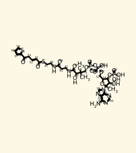 CC(C)(COP(=O)(O)OP(=O)(O)OCC1OC(C)(n2cnc3c(N)ncnc32)C(O)C1OP(=O)(O)O)C(O)C(=O)NCCC(=O)NCCSC(=O)C=CCC(=O)c1cccs1